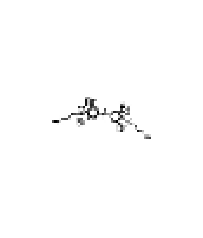 C=CCCCCOc1c(Br)cc(C(C)(C)c2cc(Br)c(OCCCCC=C)c(Br)c2)cc1Br